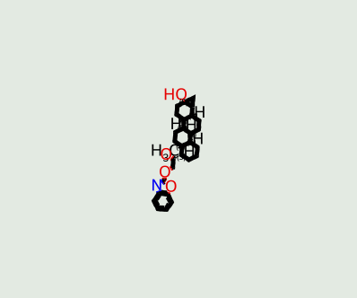 C[C@]12CC[C@@H]3[C@H]4CC[C@]5(O)CC5[C@H]4CC[C@H]3[C@@H]1CCC[C@@H]2C(=O)COc1nc2ccccc2o1